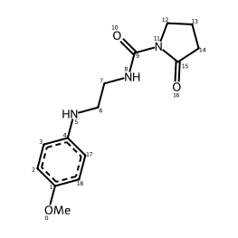 COc1ccc(NCCNC(=O)N2CCCC2=O)cc1